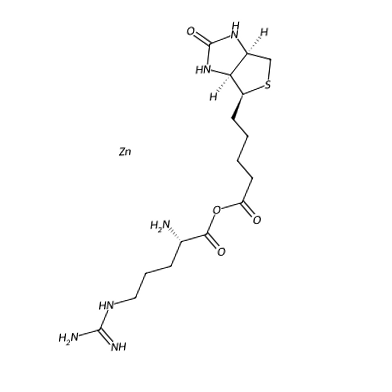 N=C(N)NCCC[C@H](N)C(=O)OC(=O)CCCC[C@@H]1SC[C@@H]2NC(=O)N[C@@H]21.[Zn]